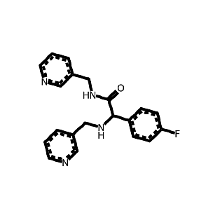 O=C(NCc1cccnc1)C(NCc1cccnc1)c1ccc(F)cc1